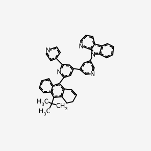 CC(C)(C)c1c2c(c(-c3cc(-c4cncc(-n5c6ccccc6c6cccnc65)c4)cc(-c4ccncc4)n3)c3ccccc13)C=CCC2